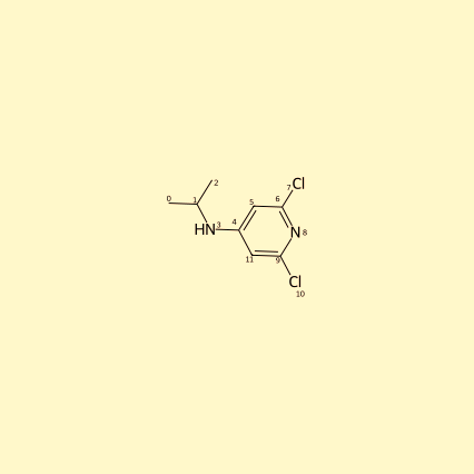 CC(C)Nc1cc(Cl)nc(Cl)c1